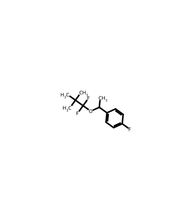 CC(OC(F)(F)C(C)(C)C)c1ccc(F)cc1